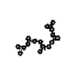 c1ccc(-c2nc(-c3cccc(-c4ccc(-n5c6ccccc6c6cc(-c7ccc8c(c7)c7ccccc7n8-c7ccccc7)ccc65)cc4)c3)cc(-c3cccc(-c4ccc(-n5c6ccccc6c6cc(-c7ccc8c(c7)c7ccccc7n8-c7ccccc7)ccc65)cc4)c3)n2)cc1